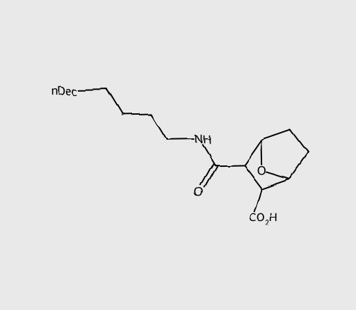 CCCCCCCCCCCCCCNC(=O)C1C2CCC(O2)C1C(=O)O